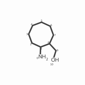 NC1CCCCCCC1CO